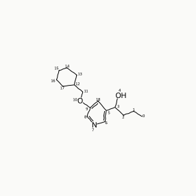 CCCC(O)c1cncc(OCC2CCCCC2)c1